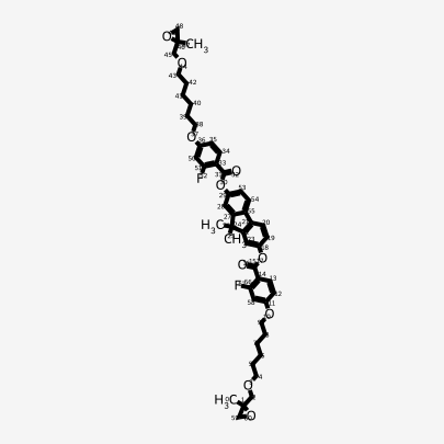 CC1(COCCCCCCOc2ccc(C(=O)Oc3ccc4c(c3)C(C)(C)c3cc(OC(=O)c5ccc(OCCCCCCOCC6(C)CO6)cc5F)ccc3-4)c(F)c2)CO1